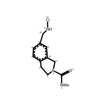 CNC(=O)N1CCc2ccc(CNCl)cc2C1